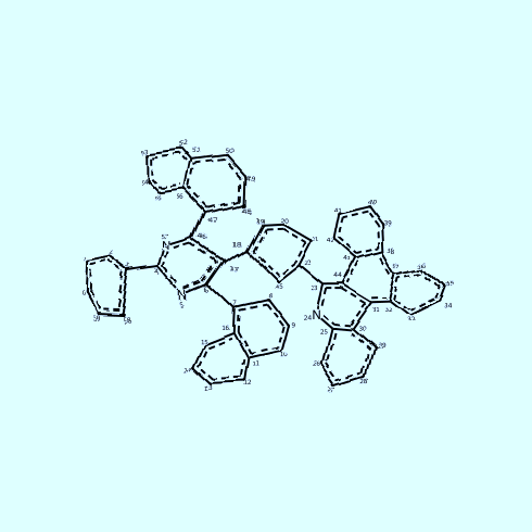 c1ccc(-c2nc(-c3cccc4ccccc34)c(-c3cccc(-c4nc5ccccc5c5c6ccccc6c6ccccc6c45)c3)c(-c3cccc4ccccc34)n2)cc1